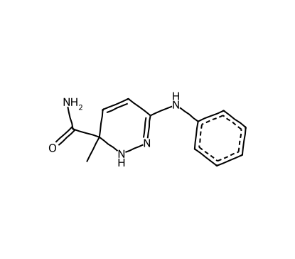 CC1(C(N)=O)C=CC(Nc2ccccc2)=NN1